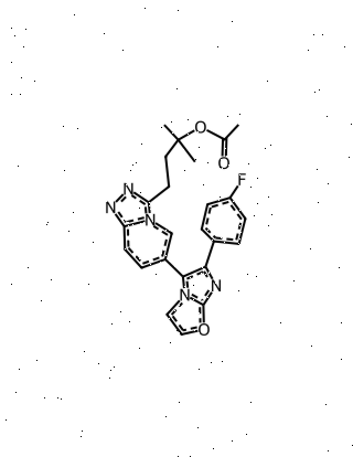 CC(=O)OC(C)(C)CCc1nnc2ccc(-c3c(-c4ccc(F)cc4)nc4occn34)cn12